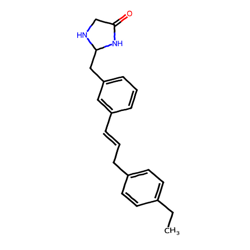 CCc1ccc(CC=Cc2cccc(CC3NCC(=O)N3)c2)cc1